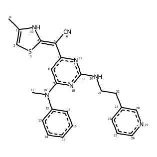 CC1=CS/C(=C(/C#N)c2cc(N(C)c3ccccc3)nc(NCCc3cccnc3)n2)N1